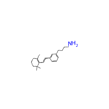 CC1=C(/C=C/c2cccc(CCCCN)c2)C(C)(C)CCC1